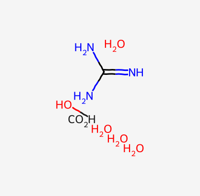 N=C(N)N.O.O.O.O.O=C(O)O